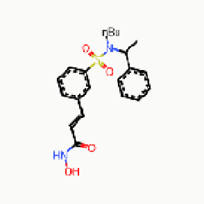 CCCCN(C(C)c1ccccc1)S(=O)(=O)c1cccc(/C=C/C(=O)NO)c1